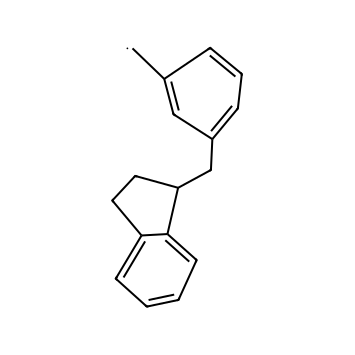 [CH2]c1cccc(CC2CCc3ccccc32)c1